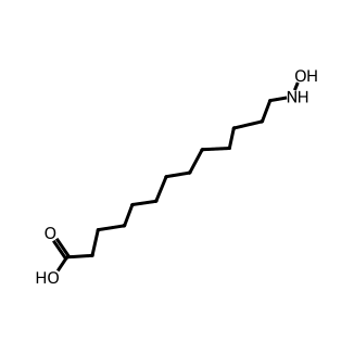 O=C(O)CCCCCCCCCCCCNO